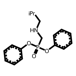 CC(C)CNCP(=O)(Oc1ccccc1)Oc1ccccc1